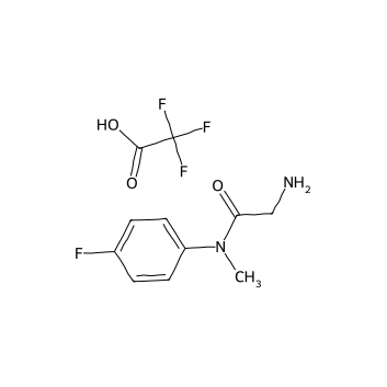 CN(C(=O)CN)c1ccc(F)cc1.O=C(O)C(F)(F)F